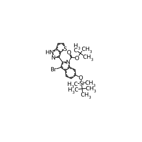 CC(C)(C)OC(=O)n1c(-c2n[nH]c3ccsc23)c(Br)c2ccc(O[Si](C)(C)C(C)(C)C)cc21